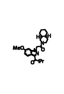 COc1ccc2c(C(=O)C(C)C)nn(CC(=O)N3CC[C@@H]4CCCC[C@@H]4C3)c2c1